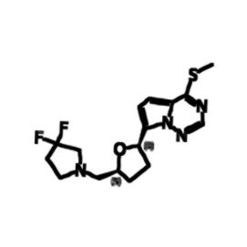 CSc1ncnn2c([C@H]3CC[C@@H](CN4CCC(F)(F)C4)O3)ccc12